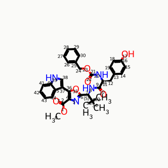 COC(=O)c1nc([C@@H](NC(=O)[C@H](Cc2ccc(O)cc2)NC(=O)OCc2ccccc2)C(C)(C)C)oc1-c1c[nH]c2ccccc12